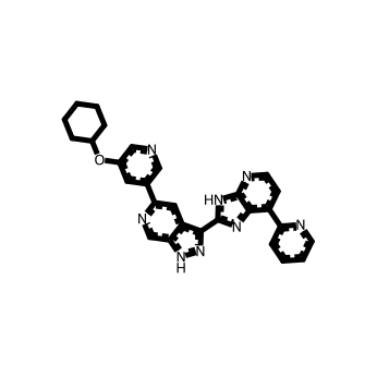 c1ccc(-c2ccnc3[nH]c(-c4n[nH]c5cnc(-c6cncc(OC7CCCCC7)c6)cc45)nc23)nc1